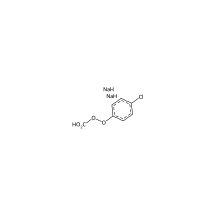 O=C(O)OOc1ccc(Cl)cc1.[NaH].[NaH]